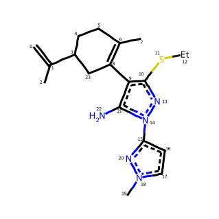 C=C(C)C1CCC(C)=C(c2c(SCC)nn(-c3ccn(C)n3)c2N)C1